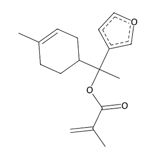 C=C(C)C(=O)OC(C)(c1ccoc1)C1CC=C(C)CC1